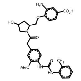 COc1cc(CC(=O)N2CC(O)C[C@H]2COc2ccc(C(=O)O)cc2N)ccc1NC(=O)Nc1ccccc1C